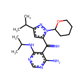 CC(C)Nc1ncnc(N)c1C(=N)c1cc(C(C)C)nn1C1CCCCO1